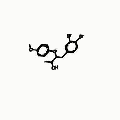 [CH2]C(O)C(Cc1ccc(Br)c(Br)c1)Oc1ccc(OC)cc1